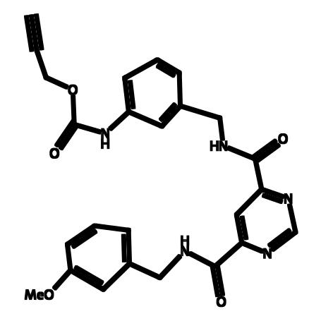 C#CCOC(=O)Nc1cccc(CNC(=O)c2cc(C(=O)NCc3cccc(OC)c3)ncn2)c1